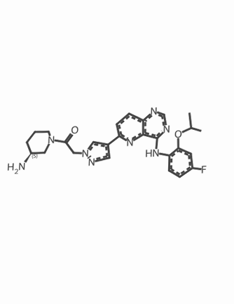 CC(C)Oc1cc(F)ccc1Nc1ncnc2ccc(-c3cnn(CC(=O)N4CCC[C@H](N)C4)c3)nc12